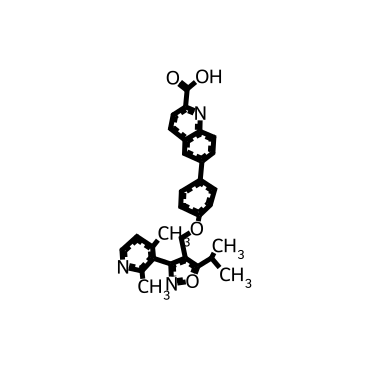 Cc1ccnc(C)c1-c1noc(C(C)C)c1COc1ccc(-c2ccc3nc(C(=O)O)ccc3c2)cc1